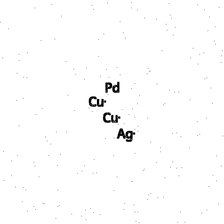 [Ag].[Cu].[Cu].[Pd]